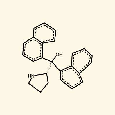 OC(c1cccc2ccccc12)(c1cccc2ccccc12)[C@@H]1CCCN1